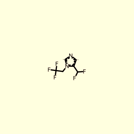 FC(F)c1[c]n[c]n1CC(F)(F)F